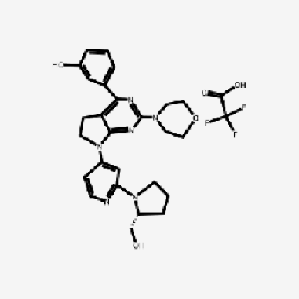 O=C(O)C(F)(F)F.OC[C@H]1CCCN1c1cc(N2CCc3c(-c4cccc(O)c4)nc(N4CCOCC4)nc32)ccn1